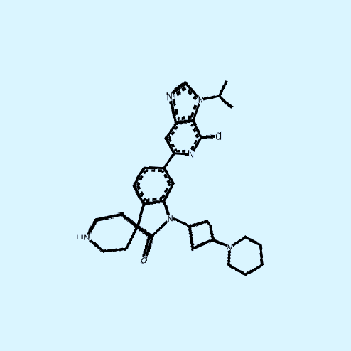 CC(C)n1cnc2cc(-c3ccc4c(c3)N(C3CC(N5CCCCC5)C3)C(=O)C43CCNCC3)nc(Cl)c21